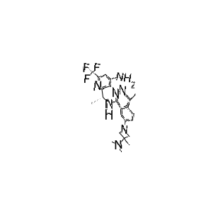 Cc1nnc(N[C@H](C)c2cc(N)cc(C(F)(F)F)n2)c2cc(N3CC(C)(N(C)C)C3)ccc12